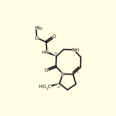 CC(C)(C)OC(=O)N[C@H]1CNC/C=C2/CC[C@@H](C(=O)O)N2C1=O